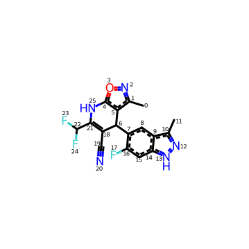 Cc1noc2c1C(c1cc3c(C)n[nH]c3cc1F)C(C#N)=C(C(F)F)N2